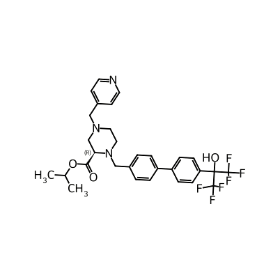 CC(C)OC(=O)[C@H]1CN(Cc2ccncc2)CCN1Cc1ccc(-c2ccc(C(O)(C(F)(F)F)C(F)(F)F)cc2)cc1